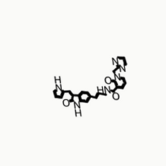 O=C1Nc2cc(/C=C/CNC(=O)c3cccn(Cc4ncccn4)c3=O)ccc2/C1=C/c1ccc[nH]1